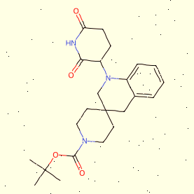 CC(C)(C)OC(=O)N1CCC2(CC1)Cc1ccccc1N(C1CCC(=O)NC1=O)C2